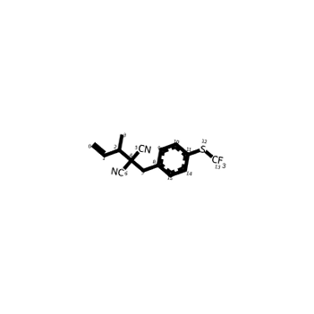 C=CC(C)C(C#N)(C#N)Cc1ccc(SC(F)(F)F)cc1